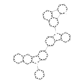 c1ccc(-n2c3ccc(-c4ccc5c(c4)c4ccccc4n5-c4cc5c6c(cccc6c4)-c4cccnc4-5)cc3c3cc4ccccc4cc32)cc1